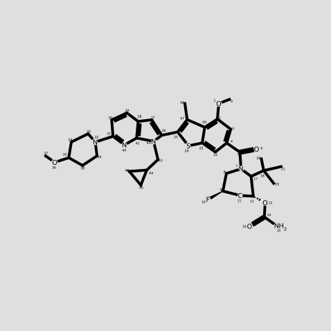 COc1cc(C(=O)N2C[C@H](F)C[C@@H](OC(N)=O)C2C(C)(C)C)cc2sc(-c3cc4ccc(N5CCC(OC)CC5)nc4n3CC3CC3)c(C)c12